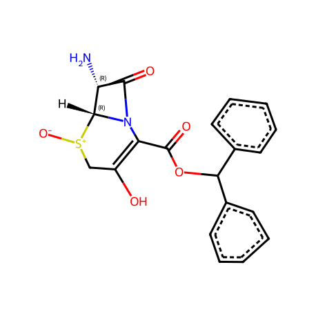 N[C@@H]1C(=O)N2C(C(=O)OC(c3ccccc3)c3ccccc3)=C(O)C[S+]([O-])[C@H]12